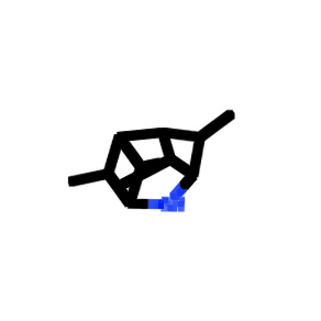 CC1C2NC3C(C)C(C3C)C1C2C